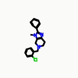 Cn1c(-c2ccccc2)nc2c1CN(Cc1ccccc1Cl)CC2